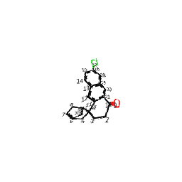 O=C1CCC2(CC3=CCC2C3)c2cc3ccc(Cl)cc3cc21